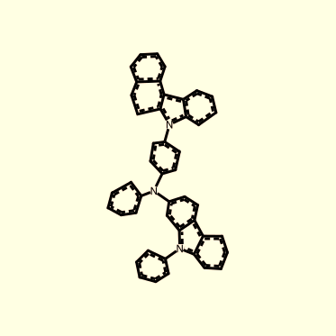 c1ccc(N(c2ccc(-n3c4ccccc4c4c5ccccc5ccc43)cc2)c2ccc3c4ccccc4n(-c4ccccc4)c3c2)cc1